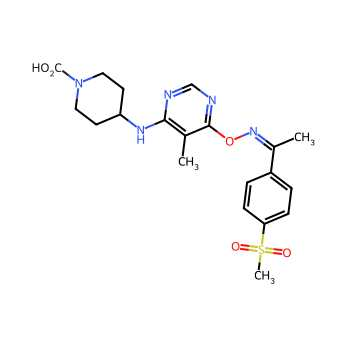 C/C(=N/Oc1ncnc(NC2CCN(C(=O)O)CC2)c1C)c1ccc(S(C)(=O)=O)cc1